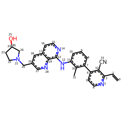 C=Cc1nccc(-c2cccc(Nc3nccc4cc(CN5CC[C@@H](O)C5)cnc34)c2C)c1C#N